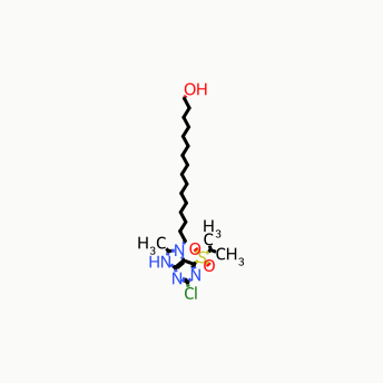 CC1Nc2nc(Cl)nc(S(=O)(=O)C(C)C)c2N1CCCCCCCCCCCCCCCCO